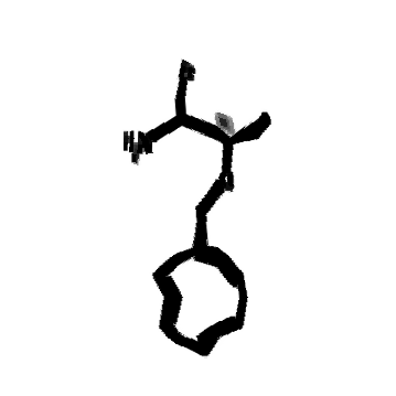 CCC(N)[C@@H](C)OCc1ccccc1